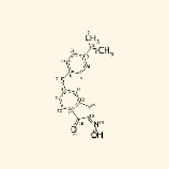 CC(C)c1ccc(Sc2ccc3c(c2)CC(=NO)C3=O)cc1